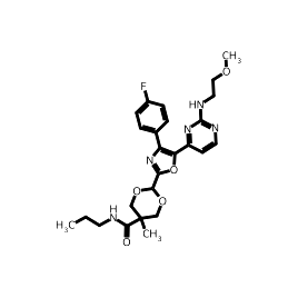 CCCNC(=O)C1(C)COC(c2nc(-c3ccc(F)cc3)c(-c3ccnc(NCCOC)n3)o2)OC1